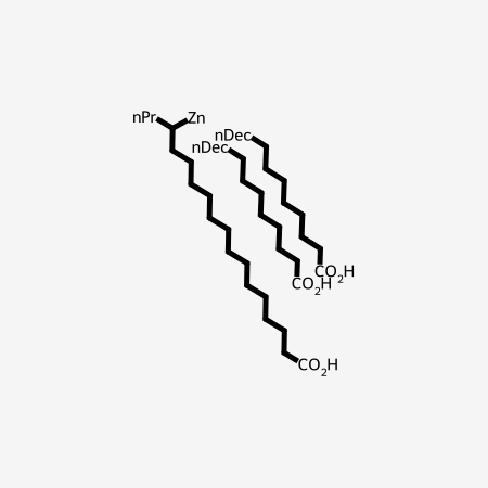 CCCCCCCCCCCCCCCCCC(=O)O.CCCCCCCCCCCCCCCCCC(=O)O.CCC[CH]([Zn])CCCCCCCCCCCCCC(=O)O